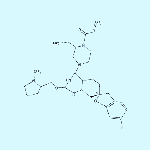 C=CC(=O)N1CCN(C2NC(OCC3CCCN3C)NC3C[C@@]4(CCC32)Cc2ccc(F)cc2O4)CC1CC#N